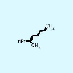 C=CCCC=C(C)CCC